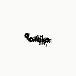 C[C@@H]1CN(c2ncc3cc(F)ccc3n2)[C@@H](C)CN1C(=O)OC1CCN(Cc2ccccc2)CC1